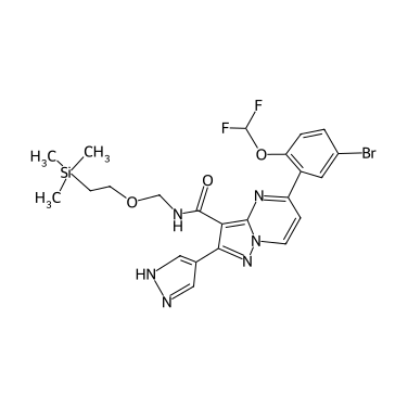 C[Si](C)(C)CCOCNC(=O)c1c(-c2cn[nH]c2)nn2ccc(-c3cc(Br)ccc3OC(F)F)nc12